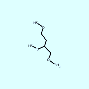 BOCC(CCOS)OS